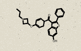 CCCN1CC(OC2=CCC(C(=O)c3c(-c4ccccc4)sc4cc(O)ccc34)C=C2)C1